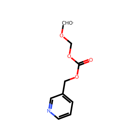 O=[C]OCOC(=O)OCc1cccnc1